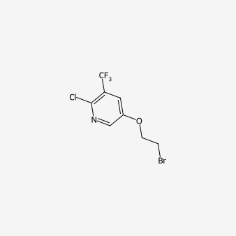 FC(F)(F)c1cc(OCCBr)cnc1Cl